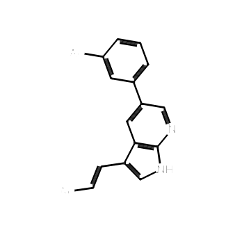 CC(=O)/C=C/c1c[nH]c2ncc(-c3cccc(C(C)=O)c3)cc12